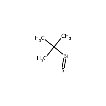 C[C](C)(C)[Bi]=[S]